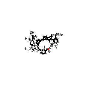 CCn1c(-c2cnccc2COC)c2c3cc(ccc31)-c1cc(O)cc(c1)C[C@H](NC(=O)C(C(C)C)N(C)C(=O)CN(C)C(=O)[C@@H]1N[C@H]1CO)C(=O)N1CCC[C@H](N1)C(=O)OCC(C)(C)C2